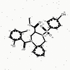 COC(=O)C1CN(C(=O)c2c(F)cccc2Cl)c2ccccc2CN1S(=O)(=O)c1ccc(O)cc1